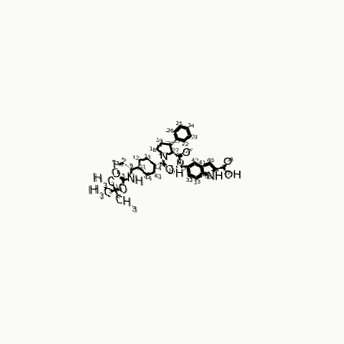 CC(C)(C)OC(=O)N[C@H](CF)[C@H]1CC[C@H](C(=O)N2CC[C@H](c3ccccc3)[C@H]2C(=O)Nc2ccc3[nH]c(C(=O)O)cc3c2)CC1